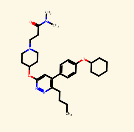 CCCCc1nnc(OC2CCN(CCC(=O)N(C)C)CC2)cc1-c1ccc(OC2CCCCC2)cc1